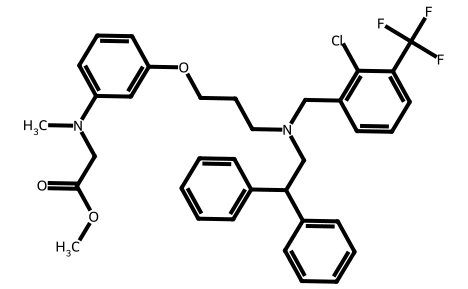 COC(=O)CN(C)c1cccc(OCCCN(Cc2cccc(C(F)(F)F)c2Cl)CC(c2ccccc2)c2ccccc2)c1